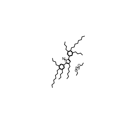 CCCCCCCCc1c(CCCC)cc(C2=CC(CCCCCC)=C(c3cc(CCCC)c(CCCCCCCC)c(CCCC)c3)[N+]2=[N-])cc1CCCC.CC[O][Pd][O]CC